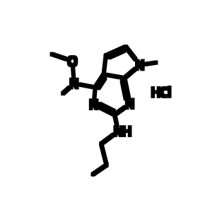 CCCNc1nc(N(C)OC)c2ccn(C)c2n1.Cl